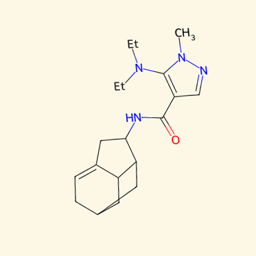 CCN(CC)c1c(C(=O)NC2CC3=CCC4CC3C2C4)cnn1C